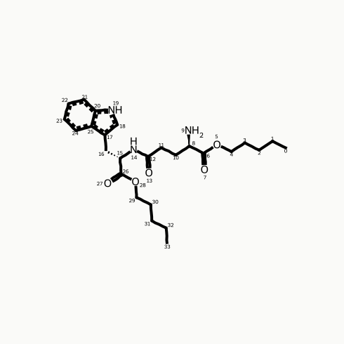 CCCCCOC(=O)[C@H](N)CCC(=O)N[C@@H](Cc1c[nH]c2ccccc12)C(=O)OCCCCC